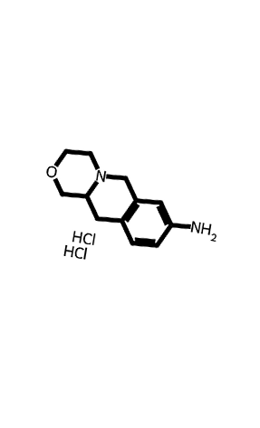 Cl.Cl.Nc1ccc2c(c1)CN1CCOCC1C2